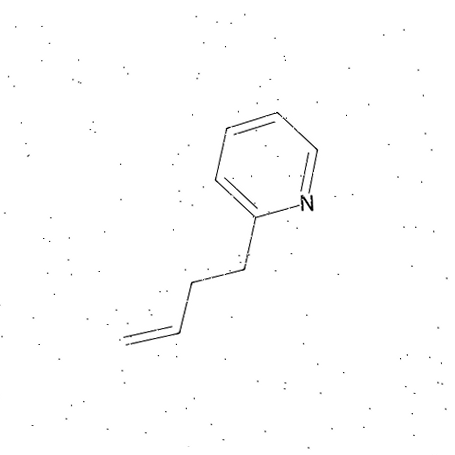 C=CCCc1ccccn1